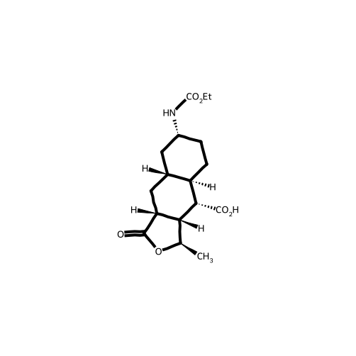 CCOC(=O)N[C@@H]1CC[C@@H]2[C@@H](C1)C[C@H]1C(=O)O[C@H](C)[C@H]1[C@H]2C(=O)O